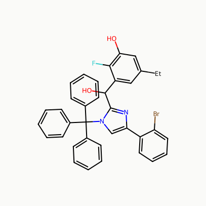 CCc1cc(O)c(F)c(C(O)c2nc(-c3ccccc3Br)cn2C(c2ccccc2)(c2ccccc2)c2ccccc2)c1